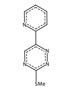 CSc1ncc(-c2ccccn2)nn1